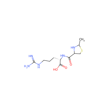 CC1NC(C(=O)N[C@@H](CCCNC(=N)N)C(=O)O)CS1